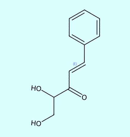 O=C(/C=C/c1ccccc1)C(O)CO